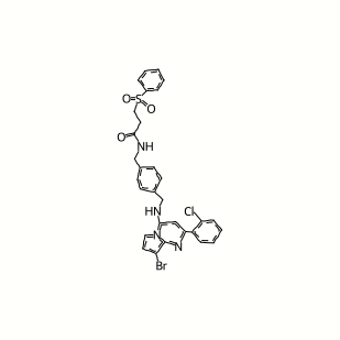 O=C(CCS(=O)(=O)c1ccccc1)NCc1ccc(CNc2cc(-c3ccccc3Cl)nc3c(Br)ccn23)cc1